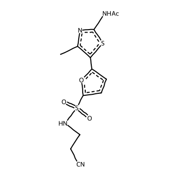 CC(=O)Nc1nc(C)c(-c2ccc(S(=O)(=O)NCCC#N)o2)s1